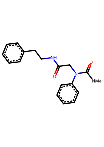 CNC(=O)N(CC(=O)NCCc1ccccc1)c1ccccc1